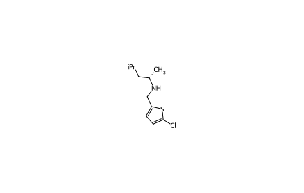 CC(C)C[C@H](C)NCc1ccc(Cl)s1